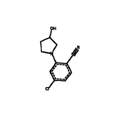 N#Cc1ccc(Cl)cc1N1CCC(O)C1